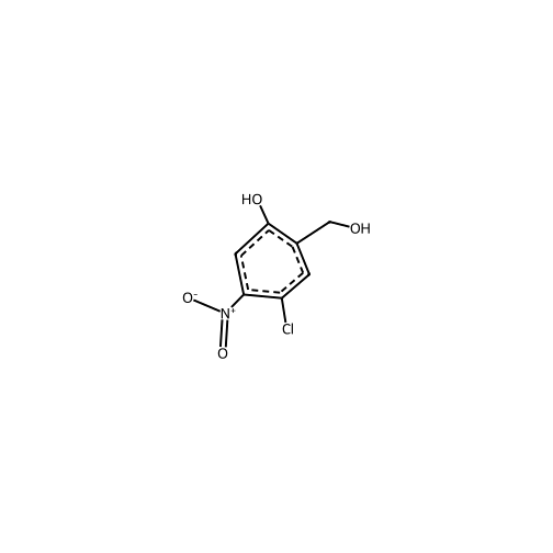 O=[N+]([O-])c1cc(O)c(CO)cc1Cl